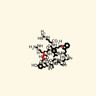 CC(C)C[C@H](NC(=O)[C@H](Cc1c[nH]c2ccccc12)NC(=O)[C@H](CC(C)C)NC(=O)[C@H](CC(C)C)NC(=O)[C@@H](N)Cc1c[nH]c2ccccc12)C(=O)N[C@@H](Cc1ccc(O)cc1)C(=O)N[C@@H](C)C(=O)N[C@@H](CCCNC(=N)N)C(=O)N[C@@H](CCCCN)C(=O)N[C@@H](CCCCN)C(=O)N[C@@H](CCCNC(=N)N)C(=O)O